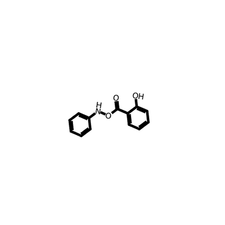 O=C(ONc1ccccc1)c1ccccc1O